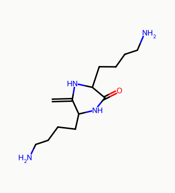 C=C1NC(CCCCN)C(=O)NC1CCCCN